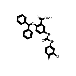 COC(=O)c1cc(NC(=O)Nc2ccc(F)c(Cl)c2)ccc1OC(c1ccccc1)c1ccccc1